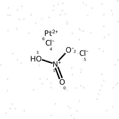 O=[N+]([O-])O.[Cl-].[Cl-].[Pt+2]